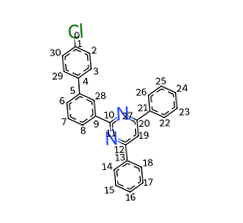 Clc1ccc(-c2cccc(-c3nc(-c4ccccc4)cc(-c4ccccc4)n3)c2)cc1